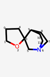 C1COC2(C1)CN1CCC2CC1